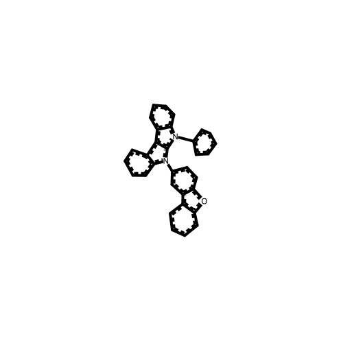 c1ccc(-n2c3ccccc3c3c4ccccc4n(-c4ccc5oc6ccccc6c5c4)c32)cc1